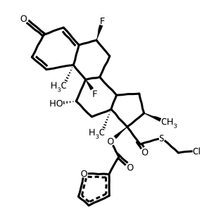 C[C@@H]1CC2C3C[C@H](F)C4=CC(=O)C=C[C@]4(C)[C@@]3(F)[C@@H](O)C[C@]2(C)[C@@]1(OC(=O)c1ccco1)C(=O)SCCl